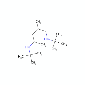 CC(CNC(C)(C)C)CC(C)NC(C)(C)C